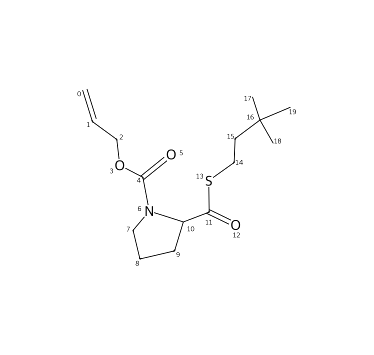 C=CCOC(=O)N1CCCC1C(=O)SCCC(C)(C)C